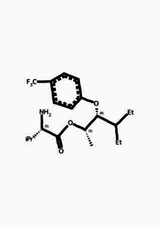 CCC(CC)[C@@H](Oc1ccc(C(F)(F)F)cc1)[C@H](C)OC(=O)[C@@H](N)C(C)C